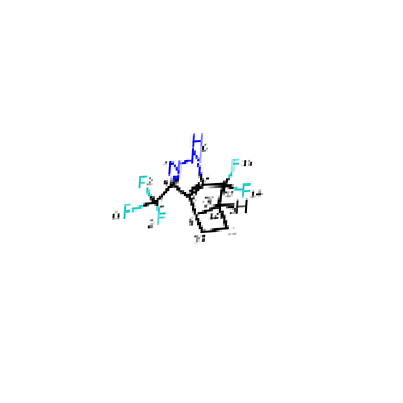 FC(F)(F)c1n[nH]c2c1C1CC[C@H]1C2(F)F